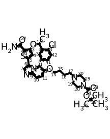 CC(Oc1cc(-c2cnc3ccc(OCCCCN4CCN(C(=O)OC(C)(C)C)CC4)cn23)sc1C(N)=O)c1ccccc1Cl